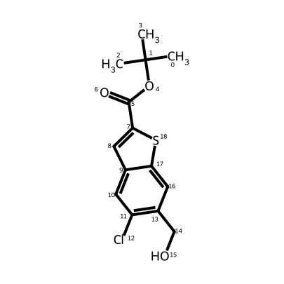 CC(C)(C)OC(=O)c1cc2cc(Cl)c(CO)cc2s1